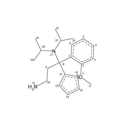 COc1ccccc1C(CCN)(c1cccs1)N(C(C)C)C(C)C